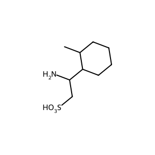 CC1CCCCC1C(N)CS(=O)(=O)O